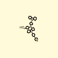 OCc1ccc(N(c2ccc(-n3c4ccccc4c4ccccc43)cc2)c2cccc3c2c2ccccc2n3-c2ccc(-c3ccncc3)cc2)cc1